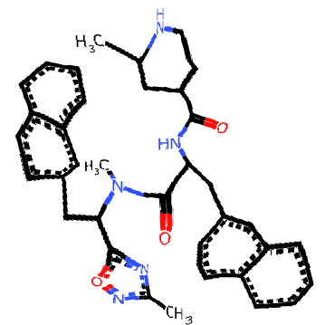 Cc1noc(C(Cc2ccc3ccccc3c2)N(C)C(=O)C(Cc2ccc3ccccc3c2)NC(=O)C2CCNC(C)C2)n1